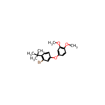 COc1ccc(Oc2ccc(C(C)(C)C)c(Br)c2)cc1OC